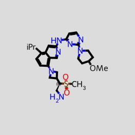 COC1CCN(c2nccc(Nc3cc4c(C(C)C)ccc(N5CC([C@H](CN)S(C)(=O)=O)C5)c4cn3)n2)CC1